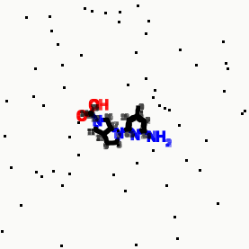 Cc1cc(N)nc(N2CCC3CN(C(=O)O)CC32)c1